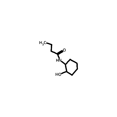 CCCC(=O)NC1CCCCC1O